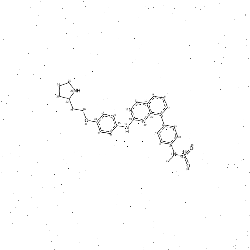 CN(c1ccc(-c2cccc3cnc(Nc4ccc(OCCC5CCCN5)cc4)nc23)cc1)[SH](=O)=O